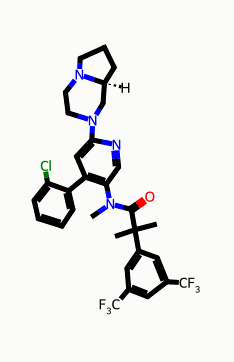 CN(C(=O)C(C)(C)c1cc(C(F)(F)F)cc(C(F)(F)F)c1)c1cnc(N2CCN3CCC[C@H]3C2)cc1-c1ccccc1Cl